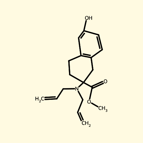 C=CCN(CC=C)C1(C(=O)OC)CCc2cc(O)ccc2C1